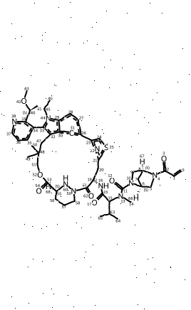 C=CC(=O)N1C[C@@H]2C[C@H]1CN2C(=O)N(C)C(C(=O)N[C@H]1Cc2nc(cs2)-c2ccc3c(c2)c(c(-c2cccnc2[C@H](C)OC)n3CC)CC(C)(C)COC(=O)[C@@H]2CCCN(N2)C1=O)C(C)C